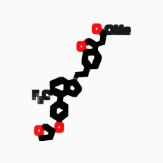 COC(=O)C[C@@H]1COc2cc(CC[C@@H]3CCc4c3ccc(C(F)(F)F)c4-c3ccc(O[C@H]4CCOC4)cc3)ccc21